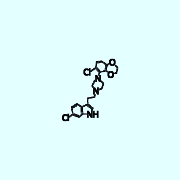 Clc1ccc2c(CCN3CCN(c4c(Cl)ccc5c4OCCO5)CC3)c[nH]c2c1